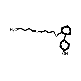 CCCCCCCCCCOc1ccccc1-c1ccc(O)cc1